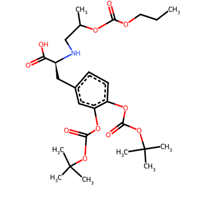 CCCOC(=O)OC(C)CN[C@@H](Cc1ccc(OC(=O)OC(C)(C)C)c(OC(=O)OC(C)(C)C)c1)C(=O)O